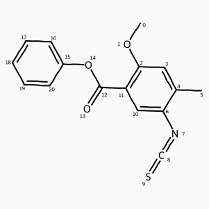 COc1cc(C)c(N=C=S)cc1C(=O)Oc1ccccc1